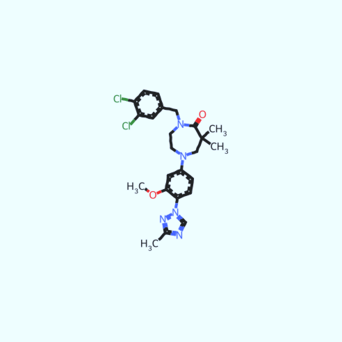 COc1cc(N2CCN(Cc3ccc(Cl)c(Cl)c3)C(=O)C(C)(C)C2)ccc1-n1cnc(C)n1